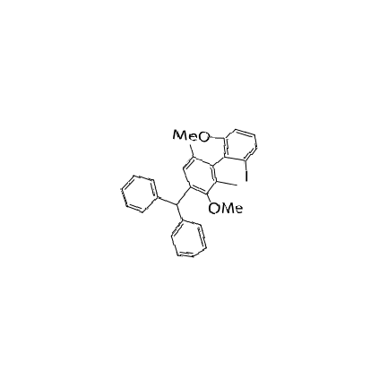 COc1cccc(I)c1-c1c(C)cc(C(c2ccccc2)c2ccccc2)c(OC)c1C